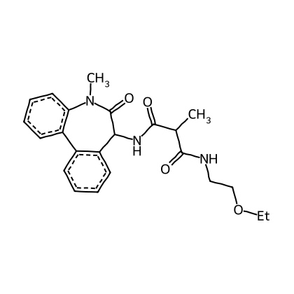 CCOCCNC(=O)C(C)C(=O)NC1C(=O)N(C)c2ccccc2-c2ccccc21